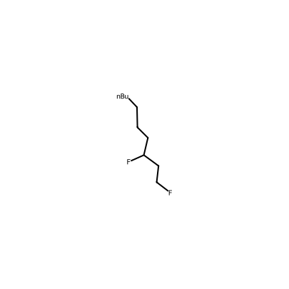 CCCCCCCC(F)CCF